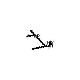 CCCCCCCCCCC(CCCCCCCCC(=O)OCC(CCCC)CCCCCC)COC(=O)[C@@H]1[C@@H]2CN(C)C[C@@H]21